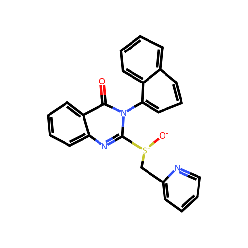 O=c1c2ccccc2nc([S+]([O-])Cc2ccccn2)n1-c1cccc2ccccc12